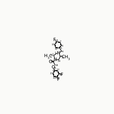 C[C@@H]1CN(Cc2ccc(F)cc2)[C@@H](C)CN1C(=O)COc1ccc(F)c(F)c1